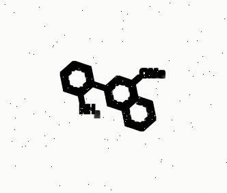 COc1cc(-c2ccccc2N)cc2ccccc12